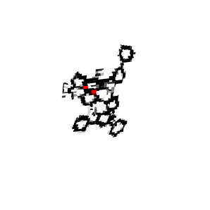 N#Cc1ccc(-n2c3ccccc3c3cc(-c4ccccc4)ccc32)c(-c2cc(-c3c(C(F)(F)F)cccc3C(F)(F)F)ccc2-n2c3ccccc3c3cc(-c4ccccc4)ccc32)c1